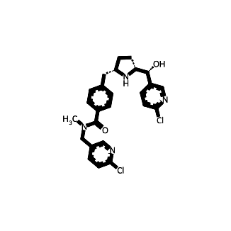 CN(Cc1ccc(Cl)nc1)C(=O)c1ccc(C[C@@H]2CC[C@H]([C@H](O)c3ccc(Cl)nc3)N2)cc1